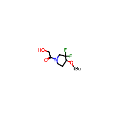 CC(C)(C)O[C@H]1CCN(C(=O)CO)CC1(F)F